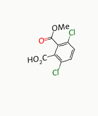 COC(=O)c1c(Cl)ccc(Cl)c1C(=O)O